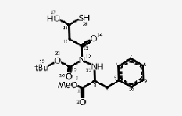 COC(=O)C(Cc1ccccc1)NN(C(=O)CC(O)S)C(=O)OC(C)(C)C